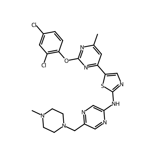 Cc1cc(-c2cnc(Nc3cnc(CN4CCN(C)CC4)cn3)s2)nc(Oc2ccc(Cl)cc2Cl)n1